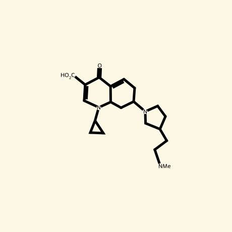 CNCCC1CCN(C2CC=C3C(=O)C(C(=O)O)=CN(C4CC4)C3C2)C1